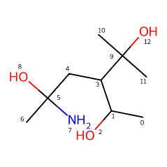 CC(O)C(CC(C)(N)O)C(C)(C)O